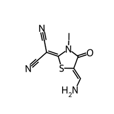 N#CC(C#N)=c1s/c(=C\N)c(=O)n1I